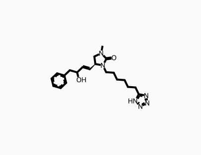 CN1C[C@H](/C=C/C(O)Cc2ccccc2)N(CCCCCCc2nnn[nH]2)C1=O